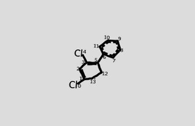 ClC1=CC(Cl)=C(c2ccccc2)C[CH]1